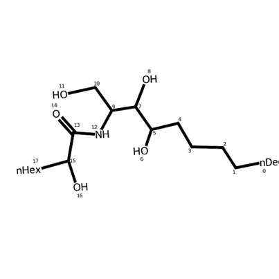 CCCCCCCCCCCCCCC(O)C(O)C(CO)NC(=O)C(O)CCCCCC